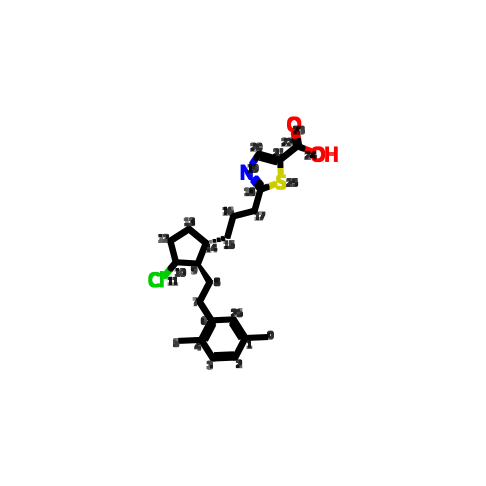 Cc1ccc(C)c(CC[C@H]2C(Cl)CC[C@@H]2CCCc2ncc(C(=O)O)s2)c1